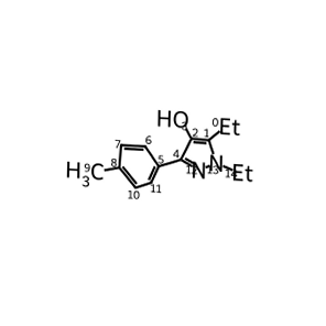 CCc1c(O)c(-c2ccc(C)cc2)nn1CC